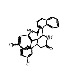 O=C1C[C@@H](c2cccc(Cl)c2)[C@]2(C(=O)Nc3cc(Cl)ccc32)[C@@H](c2cccc3ccccc23)N1